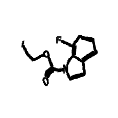 O=C(OCI)n1ccc2cccc(F)c21